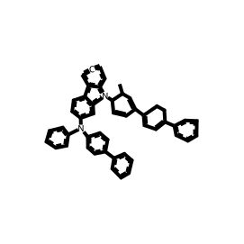 CC1C=C(C2=CC=C(c3ccccc3)CC2)C=CC1n1c2ccccc2c2ccc(N(c3ccccc3)c3ccc(-c4ccccc4)cc3)cc21